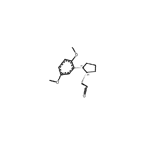 COc1ccc(OC)c([C@@H]2CCC[C@@H]2CC=O)c1